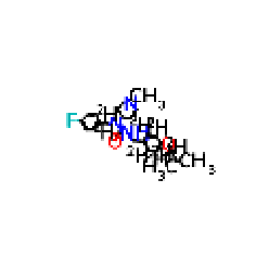 [2H]c1c([2H])c(OC([2H])([2H])C(C)C)c([2H])c([2H])c1CNC(=O)N(C1CCN(C)CC1)C([2H])([2H])c1ccc(F)cc1